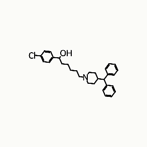 OC(CCCCCN1CCC(C(c2ccccc2)c2ccccc2)CC1)c1ccc(Cl)cc1